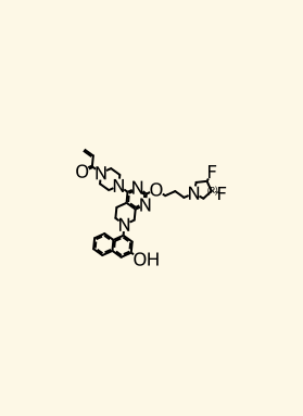 C=CC(=O)N1CCN(c2nc(OCCCN3CC(F)[C@H](F)C3)nc3c2CCN(c2cc(O)cc4ccccc24)C3)CC1